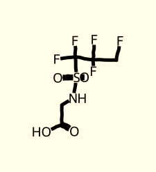 O=C(O)CNS(=O)(=O)C(F)(F)C(F)(F)CF